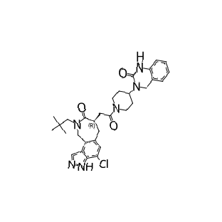 CC(C)(C)CN1Cc2c(cc(Cl)c3[nH]ncc23)C[C@H](CC(=O)N2CCC(N3Cc4ccccc4NC3=O)CC2)C1=O